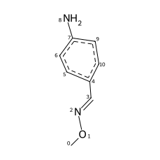 CON=Cc1ccc(N)cc1